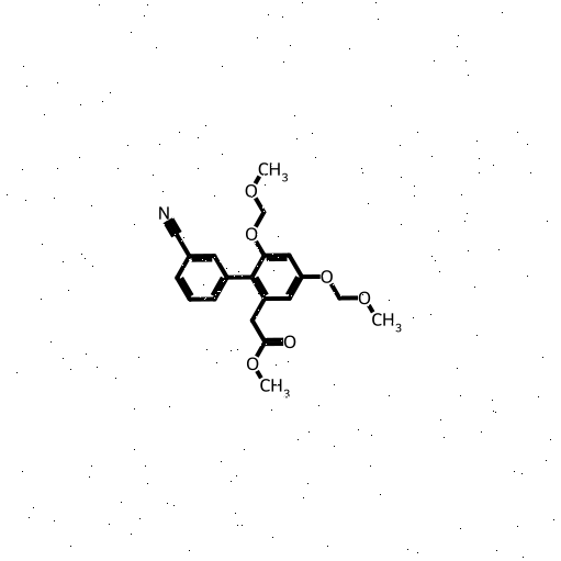 COCOc1cc(CC(=O)OC)c(-c2cccc(C#N)c2)c(OCOC)c1